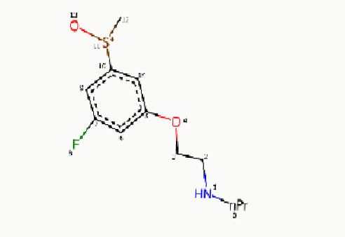 CCCNCCOc1cc(F)cc([S+](C)[O-])c1